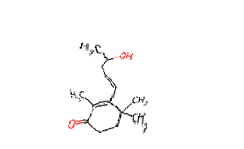 CC1=C(C=CC(C)O)C(C)(C)CCC1=O